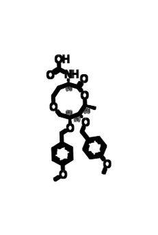 COc1ccc(CO[C@H]2[C@H](C)OC(=O)[C@@H](NC(=O)O)CCOC[C@@H]2OCc2ccc(OC)cc2)cc1